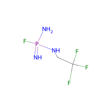 N=P(N)(F)NCC(F)(F)F